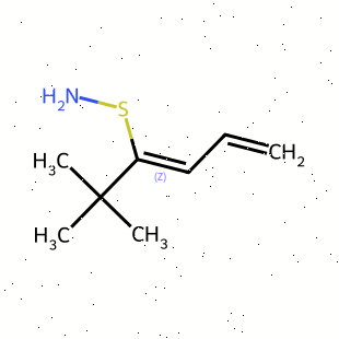 C=C/C=C(\SN)C(C)(C)C